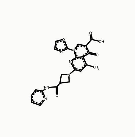 Cc1cc(N2CC(C(=O)Nc3ccccn3)C2)nc2c1c(=O)c(C(=O)O)cn2-c1nccs1